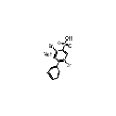 O=S(=O)(O)c1cc(Br)c(-c2ccccc2)cc1Br.[NaH]